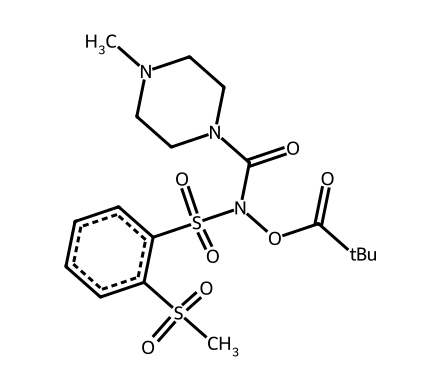 CN1CCN(C(=O)N(OC(=O)C(C)(C)C)S(=O)(=O)c2ccccc2S(C)(=O)=O)CC1